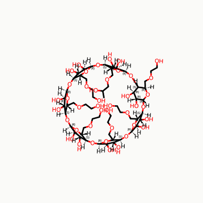 CC(O)COC[C@H]1O[C@@H]2O[C@H]3[C@H](O)[C@@H](O)[C@@H](O[C@H]4[C@H](O)[C@@H](O)[C@@H](O[C@H]5[C@H](O)[C@@H](O)[C@@H](O[C@H]6[C@H](O)[C@@H](O)[C@@H](O[C@H]7[C@H](O)[C@@H](O)[C@@H](O[C@H]8[C@H](O)[C@@H](O)[C@@H](O[C@H]1[C@H](O)[C@H]2O)O[C@@H]8COCCO)O[C@@H]7COCCO)O[C@@H]6COCCO)O[C@@H]5COCCO)O[C@@H]4COCCO)O[C@@H]3COCCO